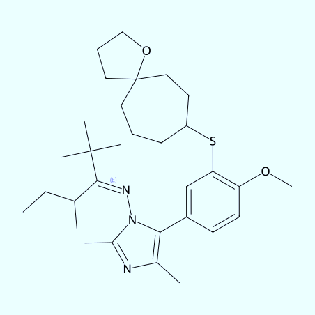 CCC(C)/C(=N\n1c(C)nc(C)c1-c1ccc(OC)c(SC2CCCC3(CCCO3)CC2)c1)C(C)(C)C